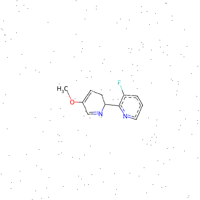 COC1=CCC(c2ncccc2F)N=C1